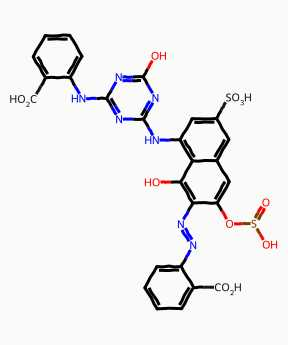 O=C(O)c1ccccc1/N=N/c1c(OS(=O)O)cc2cc(S(=O)(=O)O)cc(Nc3nc(O)nc(Nc4ccccc4C(=O)O)n3)c2c1O